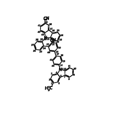 Cc1ccc2c(c1)c1ccccc1n2-c1ccc(-c2ccc(C#N)c(-c3ccccc3-n3c4ccccc4c4cc(C#N)ccc43)c2)cc1